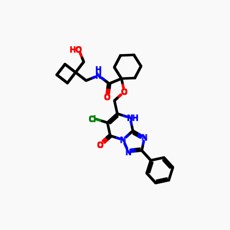 O=C(NCC1(CO)CCC1)C1(OCc2[nH]c3nc(-c4ccccc4)nn3c(=O)c2Cl)CCCCC1